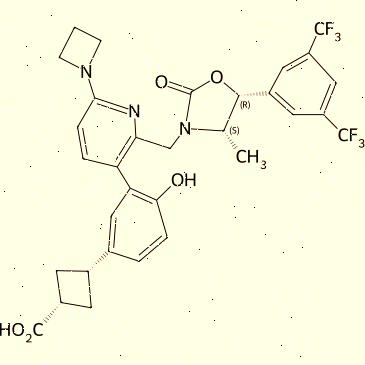 C[C@H]1[C@@H](c2cc(C(F)(F)F)cc(C(F)(F)F)c2)OC(=O)N1Cc1nc(N2CCC2)ccc1-c1cc([C@H]2C[C@@H](C(=O)O)C2)ccc1O